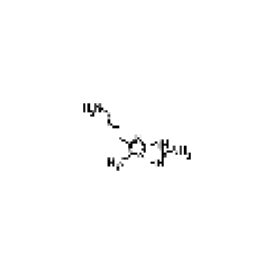 Cc1sc(NC(=N)N)nc1CCCCN